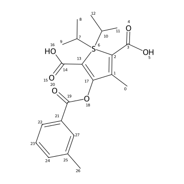 CC1=C(C(=O)O)S(C(C)C)(C(C)C)C(C(=O)O)=C1OC(=O)c1cccc(C)c1